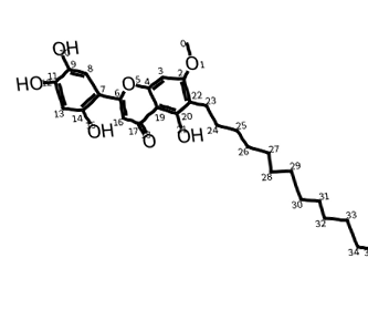 COc1cc2oc(-c3cc(O)c(O)cc3O)cc(=O)c2c(O)c1CCCCCCCCCCCCO